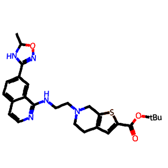 CC1NC(c2ccc3ccnc(NCCN4CCc5cc(C(=O)OC(C)(C)C)sc5C4)c3c2)=NO1